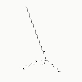 CCCCCCCCCCCCCCCCCC(=O)OCC(CO)(COC(=O)CCCCC(=O)O)COC(=O)C(O)CC(=O)O